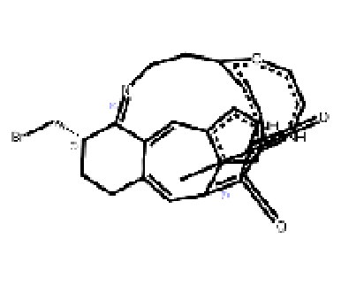 O=C1CC(=O)c2cc3occ[nH]c2/C1=C1\C=C2CC[C@H](CBr)/C(=N/CC3)C2=Cc2c[nH]cc21